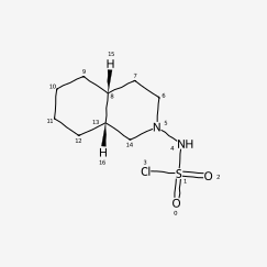 O=S(=O)(Cl)NN1CC[C@H]2CCCC[C@H]2C1